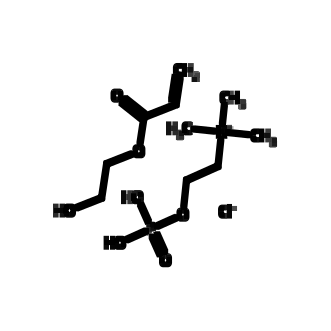 C=CC(=O)OCCO.C[N+](C)(C)CCOP(=O)(O)O.[Cl-]